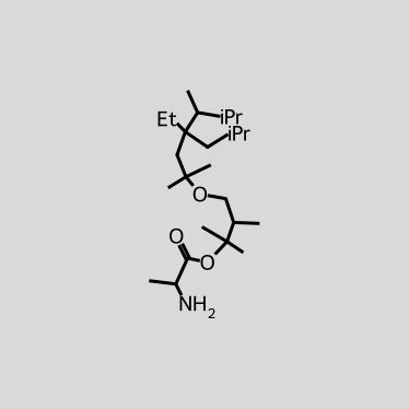 CCC(CC(C)C)(CC(C)(C)OCC(C)C(C)(C)OC(=O)C(C)N)C(C)C(C)C